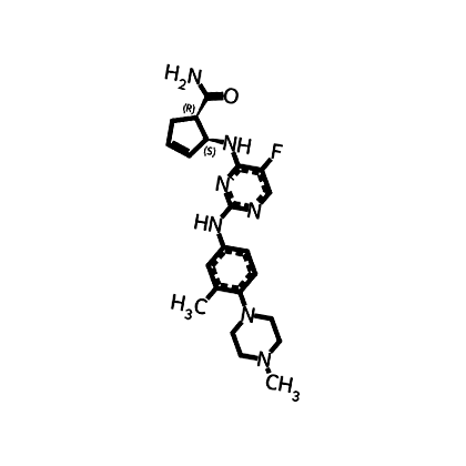 Cc1cc(Nc2ncc(F)c(N[C@H]3C=CC[C@H]3C(N)=O)n2)ccc1N1CCN(C)CC1